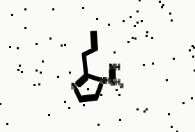 C=CCc1ncc[nH]1.N=[SH2]